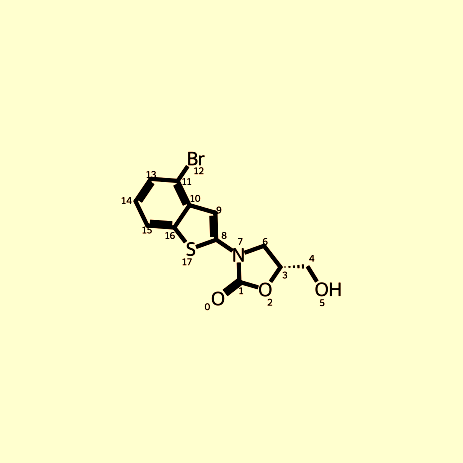 O=C1O[C@@H](CO)CN1c1cc2c(Br)cccc2s1